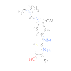 CCC(CO)NC(=S)Nc1ccc(/N=C/N(C)C)c(C#N)c1